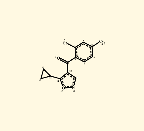 CCc1cc(C(F)(F)F)ccc1C(=O)c1cnoc1C1CC1